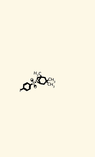 CC1(C)CC2CC(C)(CN2S(=O)(=O)c2ccc(I)cc2)C1